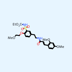 CCOC(=O)NS(=O)(=O)c1cc(CCNC(=O)C=Cc2ccc(OC)cc2OC)ccc1OCCOC